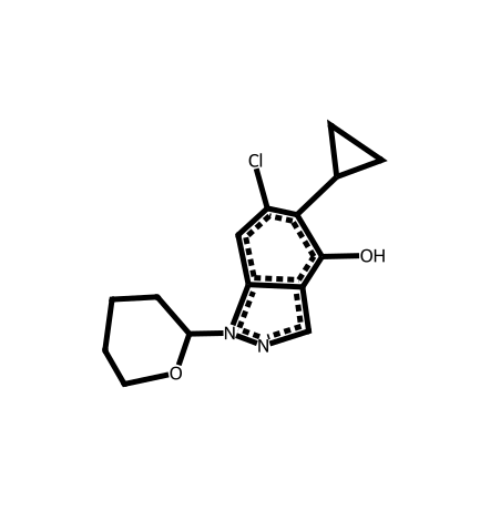 Oc1c(C2CC2)c(Cl)cc2c1cnn2C1CCCCO1